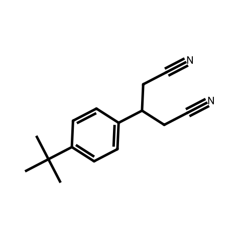 CC(C)(C)c1ccc(C(CC#N)CC#N)cc1